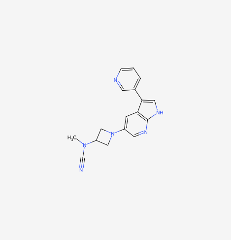 CN(C#N)C1CN(c2cnc3[nH]cc(-c4cccnc4)c3c2)C1